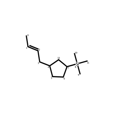 CC=CCC1[CH]CC([Si](C)(C)C)C1